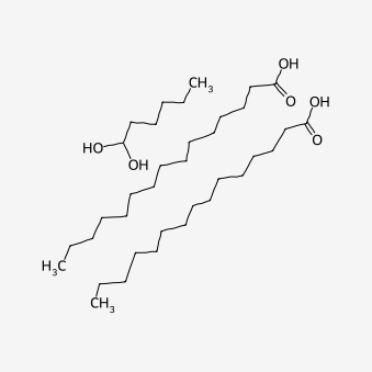 CCCCCC(O)O.CCCCCCCCCCCCCCC(=O)O.CCCCCCCCCCCCCCC(=O)O